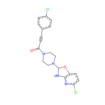 O=C(C#Cc1ccc(Cl)cc1)N1CCN(C2Nc3nc(Cl)ccc3O2)CC1